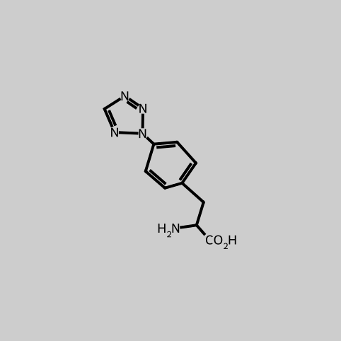 NC(Cc1ccc(-n2ncnn2)cc1)C(=O)O